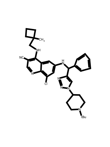 CC1(CNc2c(C#N)cnc3c(Cl)cc(NC(c4ccccc4)c4cn(C5CCN(C(C)(C)C)CC5)nn4)cc23)CCC1